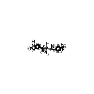 Cc1nc(NC[C@@H](N)Cc2ccc(C(F)(F)F)cc2)sc1-c1ccc2c(c1)CC(=O)N2